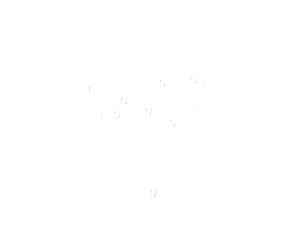 CC(CC=O)N(N)c1cnc(C(N)=O)c(Nc2ccc3cnccc3c2)n1